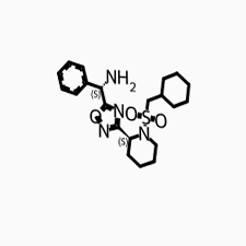 N[C@@H](c1ccccc1)c1nc([C@@H]2CCCCN2S(=O)(=O)CC2CCCCC2)no1